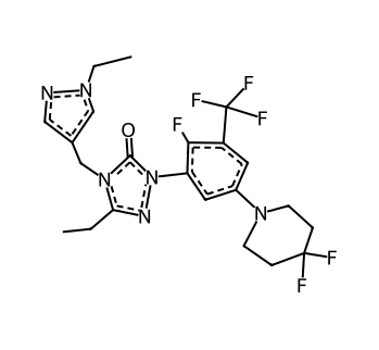 CCc1nn(-c2cc(N3CCC(F)(F)CC3)cc(C(F)(F)F)c2F)c(=O)n1Cc1cnn(CC)c1